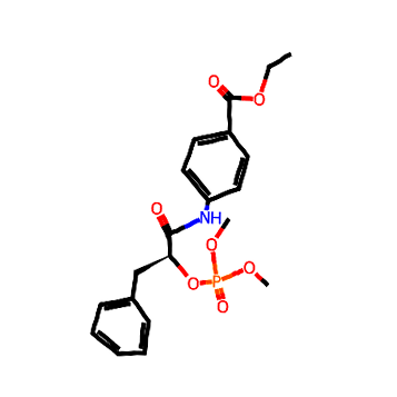 CCOC(=O)c1ccc(NC(=O)[C@H](Cc2ccccc2)OP(=O)(OC)OC)cc1